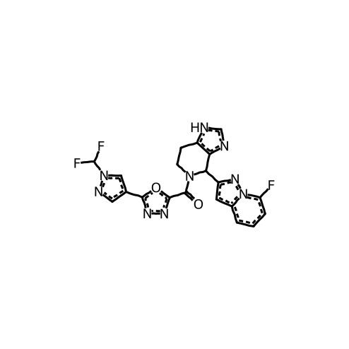 O=C(c1nnc(-c2cnn(C(F)F)c2)o1)N1CCc2[nH]cnc2C1c1cc2cccc(F)n2n1